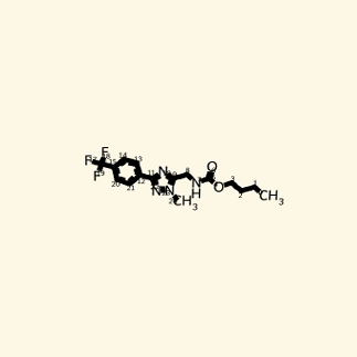 CCCCOC(=O)NCc1nc(-c2ccc(C(F)(F)F)cc2)nn1C